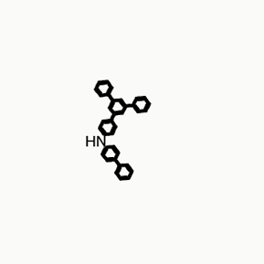 c1ccc(-c2ccc(Nc3ccc(-c4cc(-c5ccccc5)cc(-c5ccccc5)c4)cc3)cc2)cc1